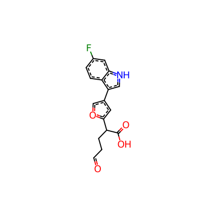 O=CCCC(C(=O)O)c1cc(-c2c[nH]c3cc(F)ccc23)co1